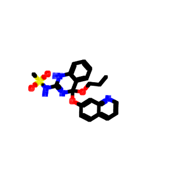 CCCOC1(Oc2ccc3cccnc3c2)N=C(NS(C)(=O)=O)Nc2ccccc21